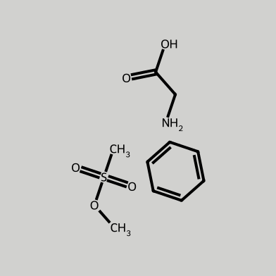 COS(C)(=O)=O.NCC(=O)O.c1ccccc1